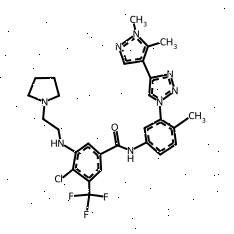 Cc1ccc(NC(=O)c2cc(NCCN3CCCC3)c(Cl)c(C(F)(F)F)c2)cc1-n1cc(-c2cnn(C)c2C)nn1